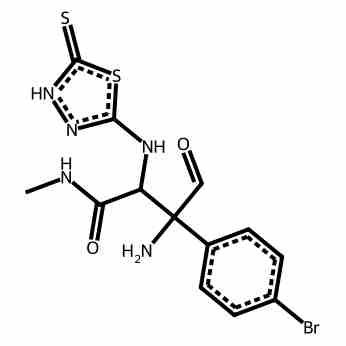 CNC(=O)C(Nc1n[nH]c(=S)s1)C(N)(C=O)c1ccc(Br)cc1